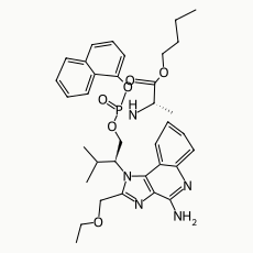 CCCCOC(=O)[C@H](C)NP(=O)(OC[C@H](C(C)C)n1c(COCC)nc2c(N)nc3ccccc3c21)Oc1cccc2ccccc12